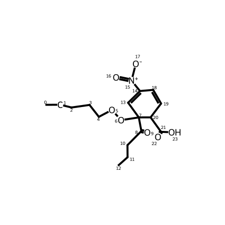 CCCCCOOC1(C(=O)CCC)C=C([N+](=O)[O-])C=CC1C(=O)O